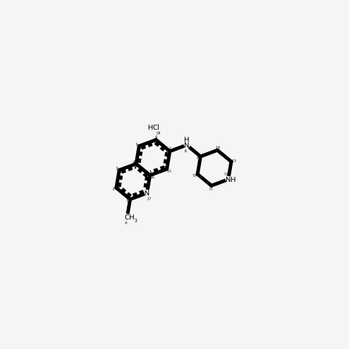 Cc1ccc2ccc(NC3CCNCC3)cc2n1.Cl